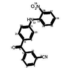 N#Cc1cccc(C(=O)c2ccc(Nc3ccccc3[N+](=O)[O-])cc2)c1